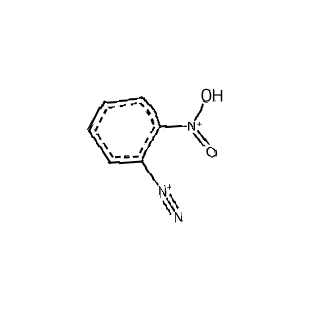 N#[N+]c1ccccc1[N+](=O)O